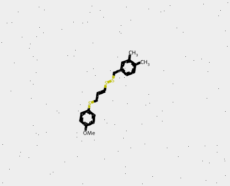 COc1ccc(SC/C=C/SSCc2ccc(C)c(C)c2)cc1